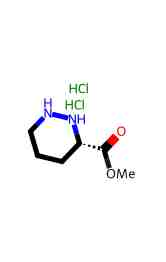 COC(=O)[C@@H]1CCCNN1.Cl.Cl